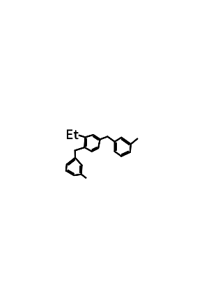 CCc1cc(Cc2cccc(C)c2)ccc1Cc1cccc(C)c1